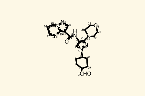 O=CC1CCC(n2cc(NC(=O)c3cnn4cccnc34)c(N3CCOCC3)n2)CC1